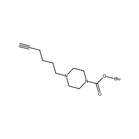 C#CCCCCN1CCN(C(=O)OC(C)(C)C)CC1